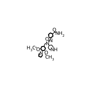 CCOc1cc(CN(c2nc3cc(C(N)=O)ccc3o2)C2CCNCC2)cc(OCC)c1-n1cccc1